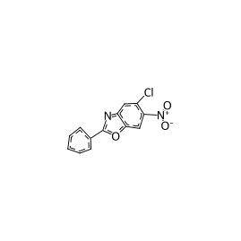 O=[N+]([O-])c1cc2oc(-c3ccccc3)nc2cc1Cl